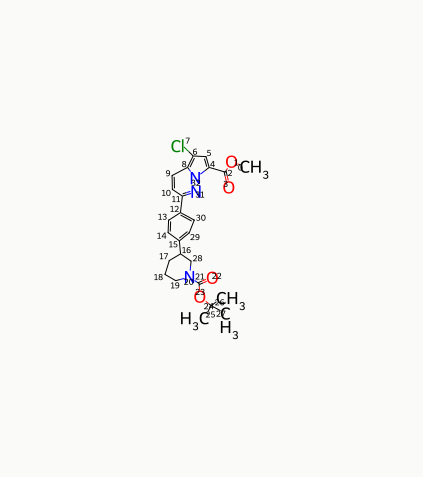 COC(=O)c1cc(Cl)c2ccc(-c3ccc(C4CCCN(C(=O)OC(C)(C)C)C4)cc3)nn12